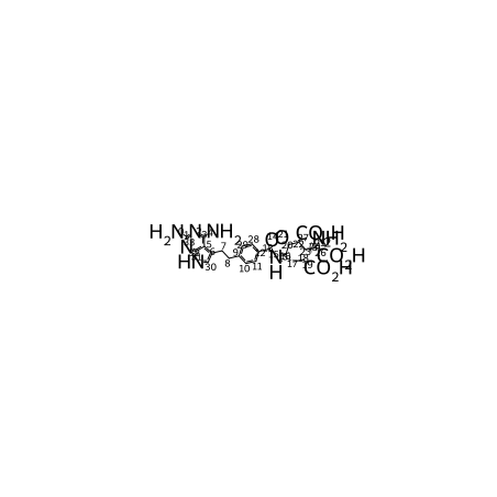 Nc1nc(N)c2c(CCc3ccc(C(=O)N[C@@H](CCC(=O)O)C(=O)C(C[C@H](N)C(=O)O)C(=O)O)cc3)c[nH]c2n1